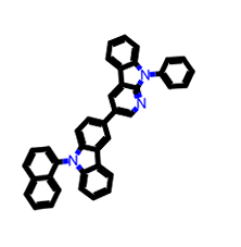 c1ccc(-n2c3ccccc3c3cc(-c4ccc5c(c4)c4ccccc4n5-c4cccc5ccccc45)cnc32)cc1